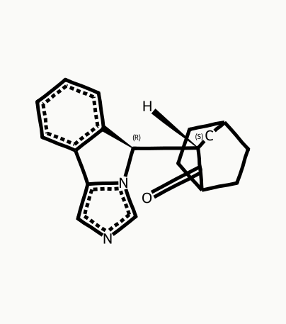 O=C1C2CCC(CC2)C[C@H]1[C@@H]1c2ccccc2-c2cncn21